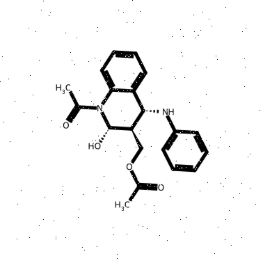 CC(=O)OC[C@@H]1[C@@H](Nc2ccccc2)c2ccccc2N(C(C)=O)[C@H]1O